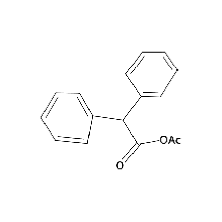 CC(=O)OC(=O)C(c1ccccc1)c1ccccc1